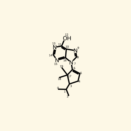 CC(C)C1CC=C(n2cnc3c(O)ncnc32)C1(C)C